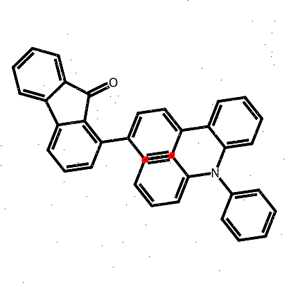 O=C1c2ccccc2-c2cccc(-c3ccc(-c4ccccc4N(c4ccccc4)c4ccccc4)cc3)c21